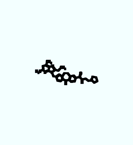 CCc1nc2c(C)cc(C)nc2n1Cc1ccc2c(c1)CCc1cc(C(=O)NCCN3CCCC3)ccc1N2